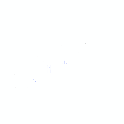 Cc1ccc(-c2nc(NC(=O)c3ccccn3)sc2C)cc1